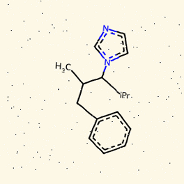 CC(C)C(C(C)Cc1ccccc1)n1ccnc1